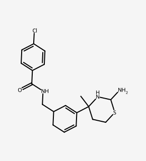 CC1(C2=CC(CNC(=O)c3ccc(Cl)cc3)CC=C2)CCSC(N)N1